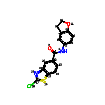 O=C(Nc1ccc2c(c1)CCO2)c1ccc2sc(Cl)nc2c1